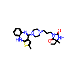 CCC1(C)NC(=O)N(CCCN2CCN(C3=Nc4ccccc4Nc4sc(C)cc43)CC2)C1=O